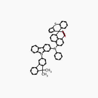 CC1(C)c2ccccc2-c2cc(-n3c4ccccc4c4ccc(N(c5ccccc5)c5ccc6c7c(cccc57)C5(c7ccccc7Sc7ccccc75)c5ccccc5-6)cc43)ccc21